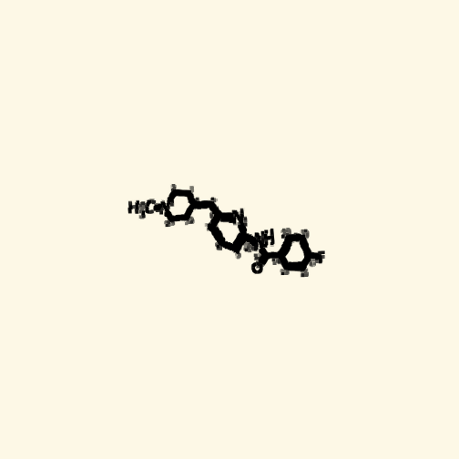 CN1CCC(=Cc2cccc(NC(=O)c3ccc(F)cc3)n2)CC1